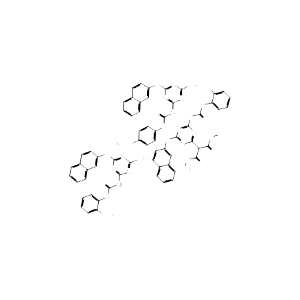 COc1ccc(NC(=O)Nc2nc(Cl)nc(Oc3ccc4ccccc4c3)n2)cc1.COc1ccccc1NC(=O)Nc1nc(Oc2ccc3ccccc3c2)nc(C(C(=O)OC(C)(C)C)C(=O)OC(C)(C)C)n1.COc1nc(NC(=O)Nc2ccccc2OC)nc(Oc2ccc3ccccc3c2)n1